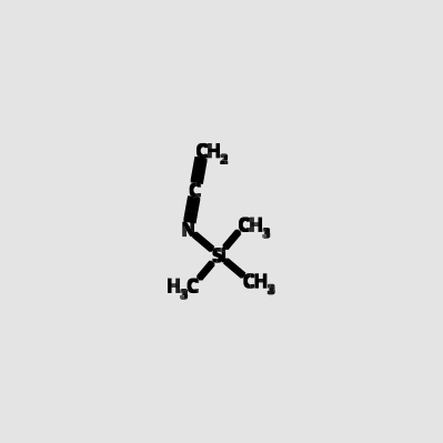 C=C=N[Si](C)(C)C